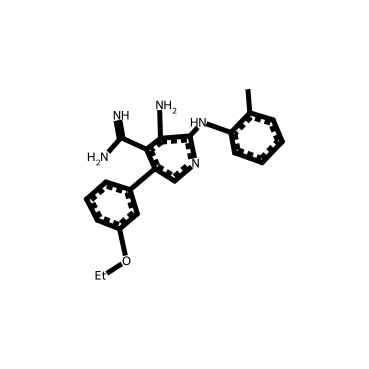 CCOc1cccc(-c2cnc(Nc3ccccc3C)c(N)c2C(=N)N)c1